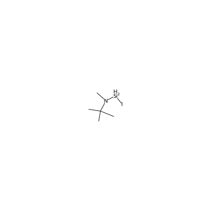 CN([SiH2]I)C(C)(C)C